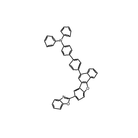 c1ccc(N(c2ccccc2)c2ccc(-c3ccc(-c4cc5c6cc(-c7nc8ccccc8o7)ccc6oc5c5ccccc45)cc3)cc2)cc1